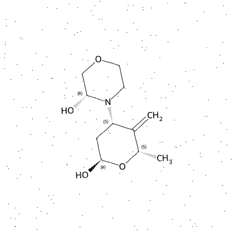 C=C1[C@H](C)O[C@@H](O)C[C@@H]1N1CCOC[C@H]1O